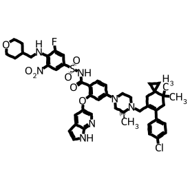 C[C@@H]1CN(c2ccc(C(=O)NS(=O)(=O)c3cc(F)c(NCC4CCOCC4)c([N+](=O)[O-])c3)c(Oc3cnc4[nH]ccc4c3)c2)CCN1CC1=C(c2ccc(Cl)cc2)CC(C)(C)C2(CC2)C1